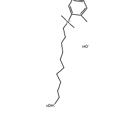 CCCCCCCCCCCCCCCCCCCC[N+](C)(C)c1ccccc1C.[OH-]